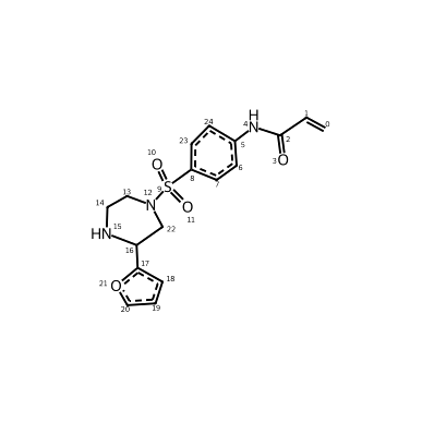 C=CC(=O)Nc1ccc(S(=O)(=O)N2CCNC(c3ccco3)C2)cc1